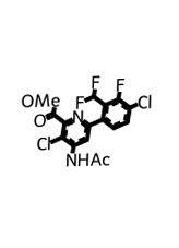 COC(=O)c1nc(-c2ccc(Cl)c(F)c2C(F)F)cc(NC(C)=O)c1Cl